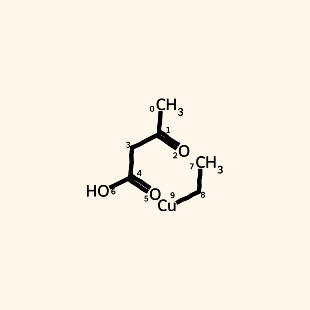 CC(=O)CC(=O)O.C[CH2][Cu]